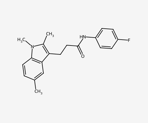 Cc1ccc2c(c1)c(CCC(=O)Nc1ccc(F)cc1)c(C)n2C